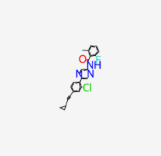 Cc1cccc(F)c1C(=O)Nc1cnc(-c2ccc(C#CC3CC3)cc2Cl)cn1